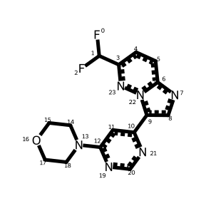 FC(F)c1ccc2ncc(-c3cc(N4CCOCC4)ncn3)n2n1